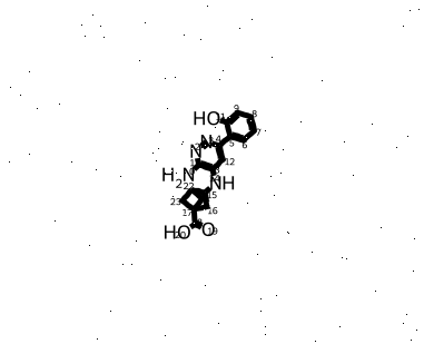 Nc1nnc(-c2ccccc2O)cc1NC1CC2(C(=O)O)CC1C2